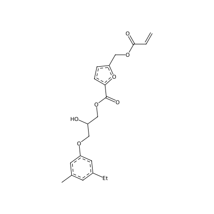 C=CC(=O)OCc1ccc(C(=O)OCC(O)COc2cc(C)cc(CC)c2)o1